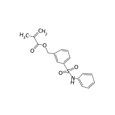 C=C(C)C(=O)OCc1cccc(S(=O)(=O)Nc2ccccc2)c1